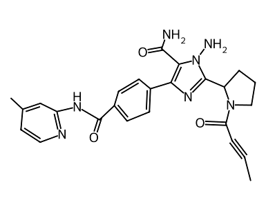 CC#CC(=O)N1CCCC1c1nc(-c2ccc(C(=O)Nc3cc(C)ccn3)cc2)c(C(N)=O)n1N